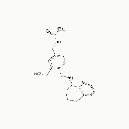 CC(=O)NCc1ccc(CNC2CCCc3cccnc32)c(CO)c1